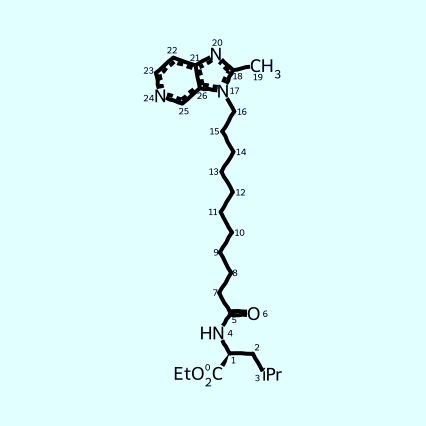 CCOC(=O)[C@H](CC(C)C)NC(=O)CCCCCCCCCCn1c(C)nc2ccncc21